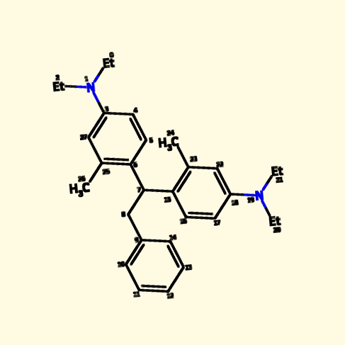 CCN(CC)c1ccc(C(Cc2ccccc2)c2ccc(N(CC)CC)cc2C)c(C)c1